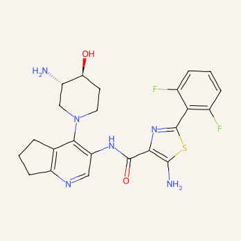 Nc1sc(-c2c(F)cccc2F)nc1C(=O)Nc1cnc2c(c1N1CC[C@H](O)[C@@H](N)C1)CCC2